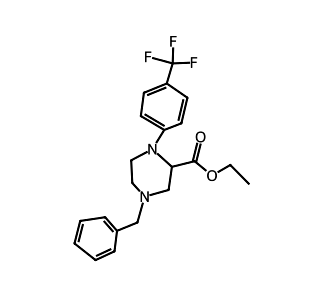 CCOC(=O)C1CN(Cc2ccccc2)CCN1c1ccc(C(F)(F)F)cc1